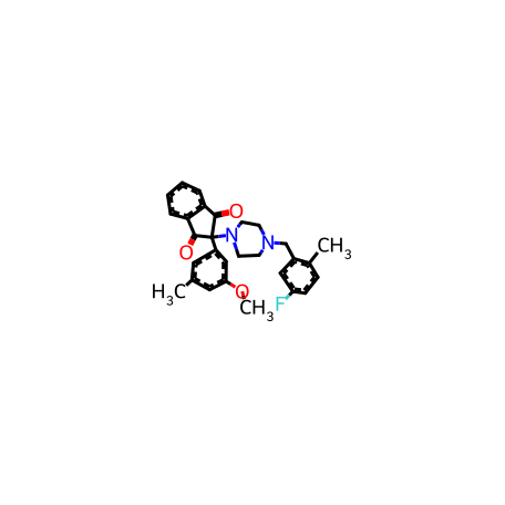 COc1cc(C)cc(C2(N3CCN(Cc4cc(F)ccc4C)CC3)C(=O)c3ccccc3C2=O)c1